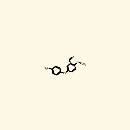 COc1ccc(Oc2ccc(C)cc2)cc1C=O